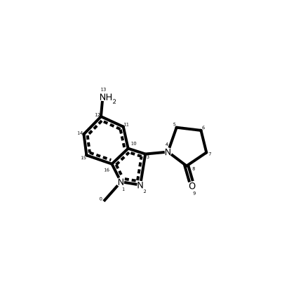 Cn1nc(N2CCCC2=O)c2cc(N)ccc21